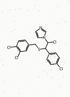 Clc1ccc(C(SCc2ccc(Cl)c(Cl)c2)C(Cl)n2ccnc2)cc1